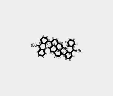 CC(C)(C)C1c2ccccc2B2c3c(cccc31)-c1ccc3cc4c5c(ccc6cc2c1c3c65)-c1cccc2c1B4c1ccccc1C2C(C)(C)C